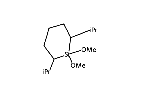 CO[Si]1(OC)C(C(C)C)CCCC1C(C)C